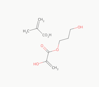 C=C(C)C(=O)O.C=C(O)C(=O)OCCCO